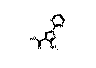 Nc1nn(-c2ncccn2)cc1C(=O)O